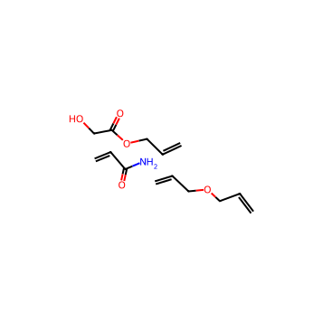 C=CC(N)=O.C=CCOC(=O)CO.C=CCOCC=C